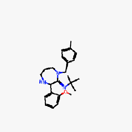 COc1ccccc1C1NCCCN(Cc2ccc(C)cc2)/C1=N\C(C)(C)C